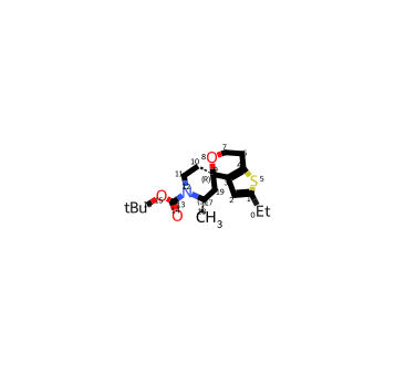 CCc1cc2c(s1)CCO[C@@]21CCN(C(=O)OC(C)(C)C)[C@@H](C)C1